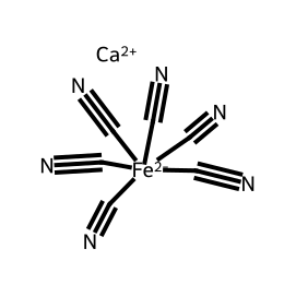 N#[C][Fe-2]([C]#N)([C]#N)([C]#N)([C]#N)[C]#N.[Ca+2]